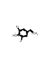 C=Cc1cc(F)c(O)c(F)c1